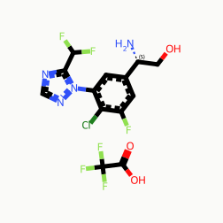 N[C@H](CO)c1cc(F)c(Cl)c(-n2ncnc2C(F)F)c1.O=C(O)C(F)(F)F